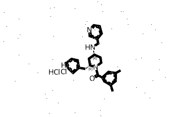 Cc1cc(C)cc(C(=O)N2CC[C@@H](NCc3cccnc3)C[C@H]2Cc2ccccc2)c1.Cl.Cl